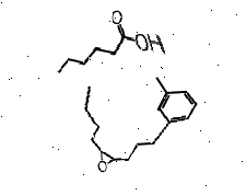 CCCCC1OC1CCCc1cccc(C)c1.CCCCCC(=O)O